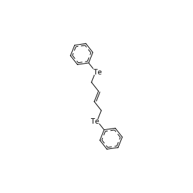 C(=C\C[Te]c1ccccc1)/C[Te]c1ccccc1